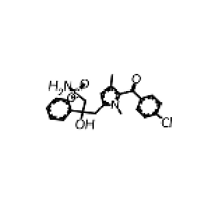 Cc1cc(CC(O)(CS(N)(=O)=O)c2ccccc2)n(C)c1C(=O)c1ccc(Cl)cc1